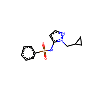 O=S(=O)(Nc1ccnn1CC1CC1)c1ccccc1